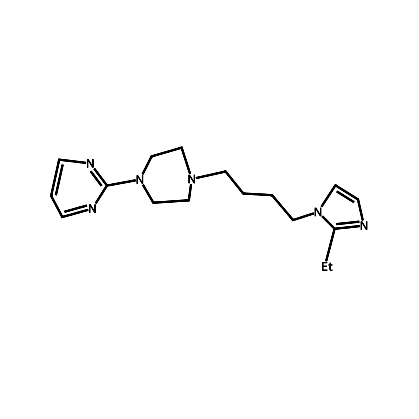 CCc1nccn1CCCCN1CCN(c2ncccn2)CC1